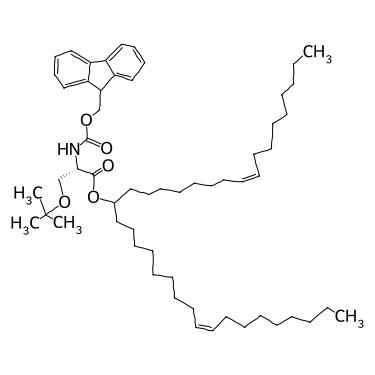 CCCCCCCC/C=C\CCCCCCCCC(CCCCCCC/C=C\CCCCCCCC)OC(=O)[C@H](COC(C)(C)C)NC(=O)OCC1c2ccccc2-c2ccccc21